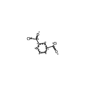 O=C(Cl)c1ccnc(C(=O)Cl)c1